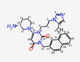 Cc1cncn1CCCn1c(N2CCC[C@@H](N)C2)cc(=O)n(Cc2ccc3ccccc3c2)c1=O